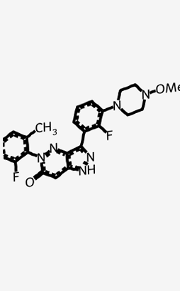 CON1CCN(c2cccc(-c3n[nH]c4cc(=O)n(-c5c(C)cccc5F)nc34)c2F)CC1